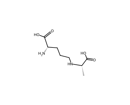 C[C@H](NCCC[C@H](N)C(=O)O)C(=O)O